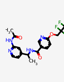 CC(=O)Nc1cc(C(C)NC(=O)c2ccc(OCC(F)(F)C(F)(F)F)nc2)ccn1